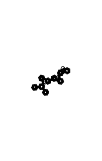 C1=CCCC(C2CC(C3=CCCC=C3)CC(N3C4=CC=C(c5ccc6c(c5)c5c(n6-c6ccc7oc8c(c7c6)CCC=C8)CCC=C5)CC4c4ccccc43)C2)=C1